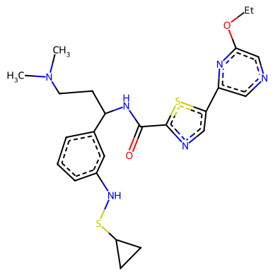 CCOc1cncc(-c2cnc(C(=O)NC(CCN(C)C)c3cccc(NSC4CC4)c3)s2)n1